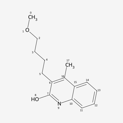 COCCCCc1c(O)nc2ccccc2c1C